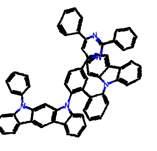 c1ccc(-c2cc(-c3ccc(-n4c5ccccc5c5cc6c7ccccc7n(-c7ccccc7)c6cc54)c(-c4ccccc4-n4c5ccccc5c5ccccc54)c3)nc(-c3ccccc3)n2)cc1